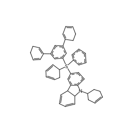 C1=CCCC(c2cc(C3=CCCC=C3)cc(S(c3ccccc3)(c3ccc4c(c3)C3C=CC=CC3N4C3CC=CCC3)C3C=CC=CC3)c2)=C1